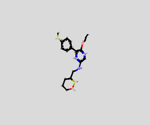 CCOc1ncc(NCC2CCCOS2)nc1-c1ccc(SC)cc1